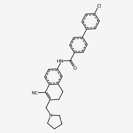 N#CC1=C(CN2CCCC2)CCc2cc(NC(=O)c3ccc(-c4ccc(Cl)cc4)cc3)ccc21